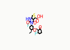 CCc1cc(F)c(-n2c(=O)[nH]c3csc(C(=O)O)c3c2=O)cc1OCc1c(F)cccc1OC